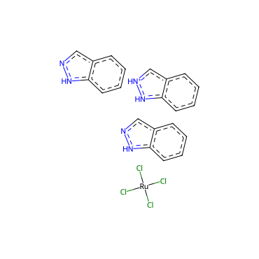 [Cl][Ru]([Cl])([Cl])[Cl].c1ccc2[nH][nH+]cc2c1.c1ccc2[nH]ncc2c1.c1ccc2[nH]ncc2c1